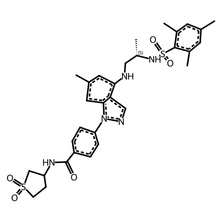 Cc1cc(C)c(S(=O)(=O)N[C@@H](C)CNc2cc(C)cc3c2cnn3-c2ccc(C(=O)NC3CCS(=O)(=O)C3)cc2)c(C)c1